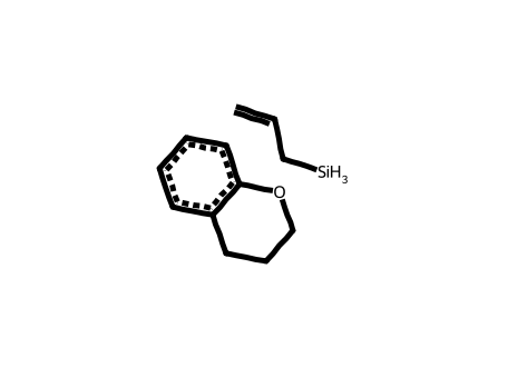 C=CC[SiH3].c1ccc2c(c1)CCCO2